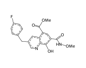 CONC(=O)c1cc(C(=O)OC)c2cc(Cc3ccc(F)cc3)cnc2c1O